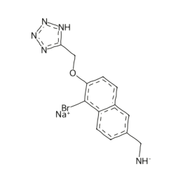 [NH-]Cc1ccc2c(Br)c(OCc3nnn[nH]3)ccc2c1.[Na+]